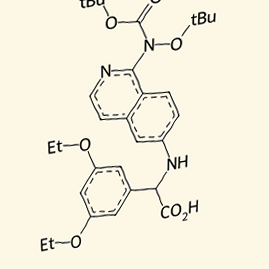 CCOc1cc(OCC)cc(C(Nc2ccc3c(N(OC(C)(C)C)C(=O)OC(C)(C)C)nccc3c2)C(=O)O)c1